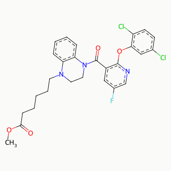 COC(=O)CCCCCN1CCN(C(=O)c2cc(F)cnc2Oc2cc(Cl)ccc2Cl)c2ccccc21